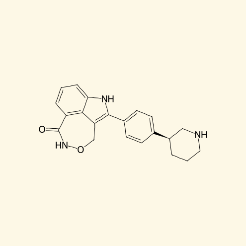 O=C1NOCc2c(-c3ccc([C@@H]4CCCNC4)cc3)[nH]c3cccc1c23